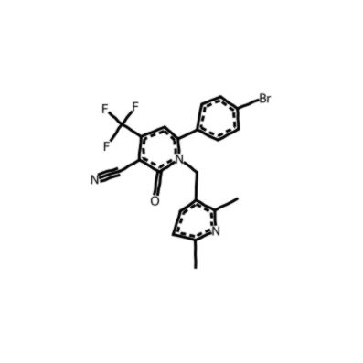 Cc1ccc(Cn2c(-c3ccc(Br)cc3)cc(C(F)(F)F)c(C#N)c2=O)c(C)n1